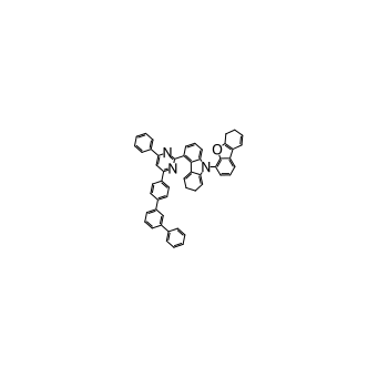 C1=Cc2c(oc3c(-n4c5c(c6c(-c7nc(-c8ccccc8)cc(-c8ccc(-c9cccc(-c%10ccccc%10)c9)cc8)n7)cccc64)=CCCC=5)cccc23)CC1